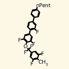 CCCCCc1ccc(-c2ccc(-c3cc(F)c(OC(F)(F)c4cc(F)c(C)c(F)c4)c(F)c3)c(F)c2)cc1